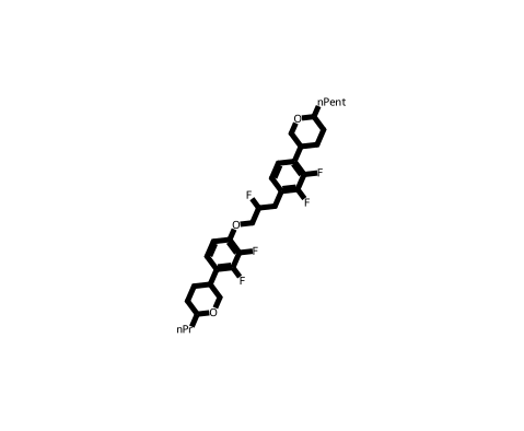 CCCCCC1CCC(c2ccc(CC(F)COc3ccc(C4CCC(CCC)OC4)c(F)c3F)c(F)c2F)CO1